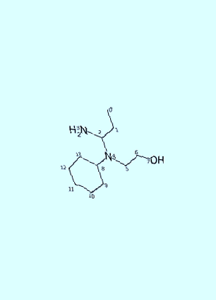 CCC(N)N(CCO)C1CCCCC1